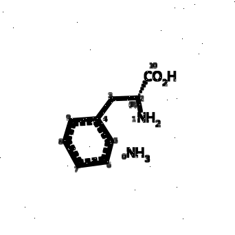 N.N[C@H](Cc1ccccc1)C(=O)O